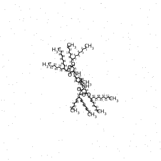 CCCCCCCCC(CCCCCC)COC(=O)CC(NCC1CC2CC1CC2(C)CNC(CC(=O)OCC(CCCCCC)CCCCCCCC)C(=O)OCC(CCCCCC)CCCCCCCC)C(=O)OCC(CCCCCC)CCCCCCCC